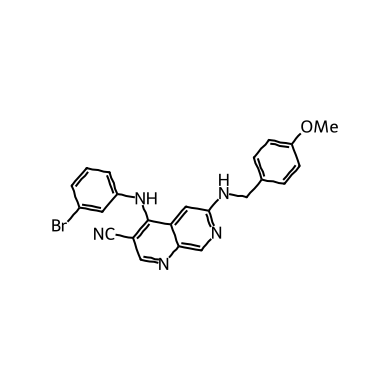 COc1ccc(CNc2cc3c(Nc4cccc(Br)c4)c(C#N)cnc3cn2)cc1